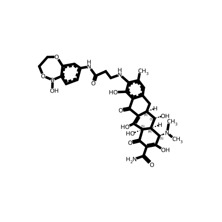 Cc1cc2c(c(O)c1NCCC(=O)Nc1ccc3c(c1)OCCOB3O)C(=O)C1=C(O)[C@]3(O)C(=O)C(C(N)=O)=C(O)[C@@H](N(C)C)[C@@H]3[C@@H](O)[C@@H]1C2